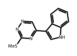 CSc1nncc(-c2c[nH]c3ccccc23)n1